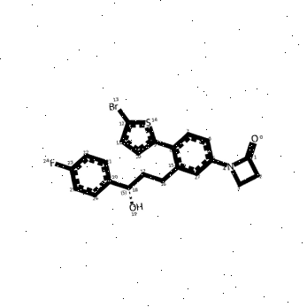 O=C1CCN1c1ccc(-c2ccc(Br)s2)c(CC[C@H](O)c2ccc(F)cc2)c1